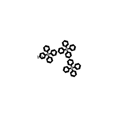 [Ir+3].c1ccc([B-](c2ccccc2)(c2ccccc2)c2ccccc2)cc1.c1ccc([B-](c2ccccc2)(c2ccccc2)c2ccccc2)cc1.c1ccc([B-](c2ccccc2)(c2ccccc2)c2ccccc2)cc1